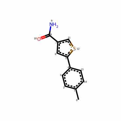 Cc1ccc(-c2cc(C(N)=O)cs2)cc1